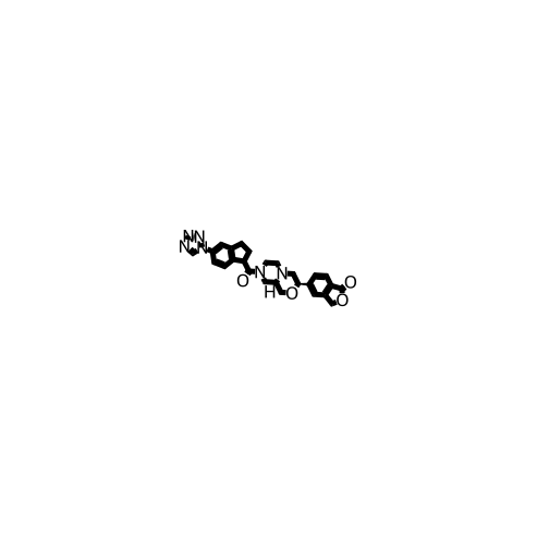 O=C1OCc2cc([C@@H]3CN4CCN(C(=O)C5CCc6cc(-n7cnnn7)ccc65)C[C@H]4CO3)ccc21